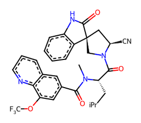 CC(C)C[C@@H](C(=O)N1C[C@]2(C[C@H]1C#N)C(=O)Nc1ccccc12)N(C)C(=O)c1cc(OC(F)(F)F)c2ncccc2c1